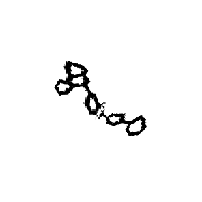 C1=CC=C(c2ccc(-c3nc4ccc(-c5cc6ccccc6c6ccccc56)cc4s3)cc2)CC=C1